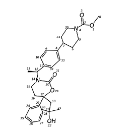 COC(=O)N1CCC(c2ccc([C@H](C)N3CCC(CC(C)(C)O)(c4ccccc4)OC3=O)cc2)CC1